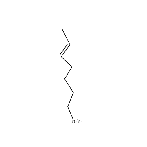 CC=CCCCC[CH]CC